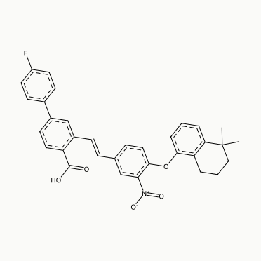 CC1(C)CCCc2c(Oc3ccc(C=Cc4cc(-c5ccc(F)cc5)ccc4C(=O)O)cc3[N+](=O)[O-])cccc21